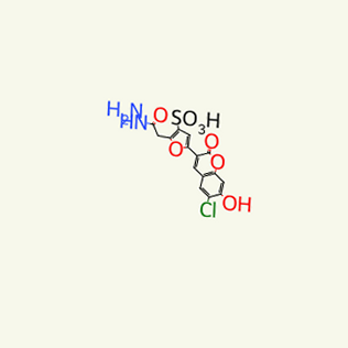 NNC(=O)Cc1oc(-c2cc3cc(Cl)c(O)cc3oc2=O)cc1S(=O)(=O)O